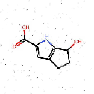 O=C(O)c1cc2c([nH]1)C(O)CC2